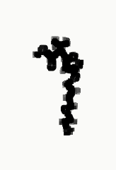 COC(=O)C(c1cc(OCCCCOCCBr)no1)C(C)C